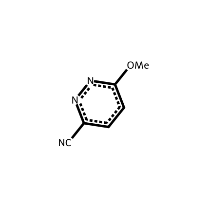 COc1ccc(C#N)nn1